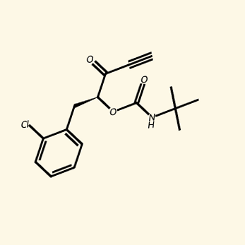 C#CC(=O)[C@H](Cc1ccccc1Cl)OC(=O)NC(C)(C)C